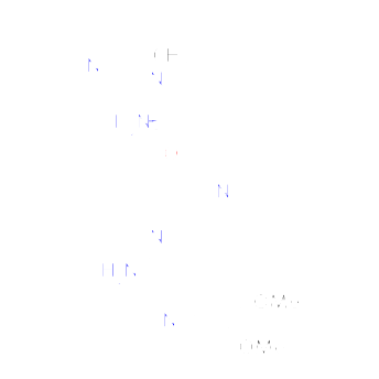 COc1cc2ncc3c(N)nc(-c4cncc(OC[C@@H](N)CN(C)Cc5ccccn5)c4)cc3c2cc1OC